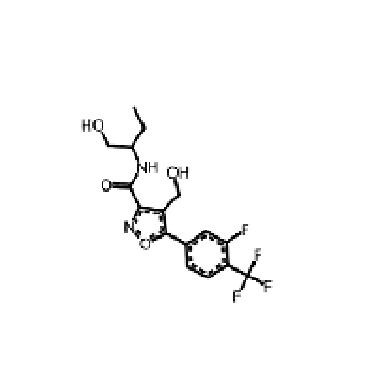 CCC(CO)NC(=O)c1noc(-c2ccc(C(F)(F)F)c(F)c2)c1CO